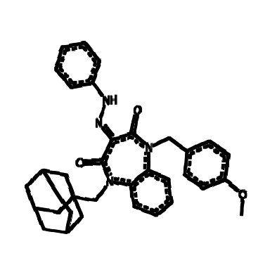 COc1ccc(Cn2c(=O)c(=NNc3ccccc3)c(=O)n(CC34CC5CC(CC(C5)C3)C4)c3ccccc32)cc1